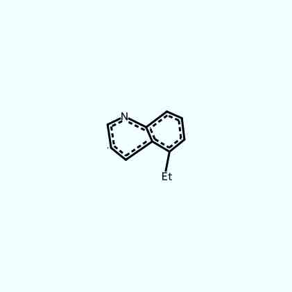 CCc1cccc2nc[c]cc12